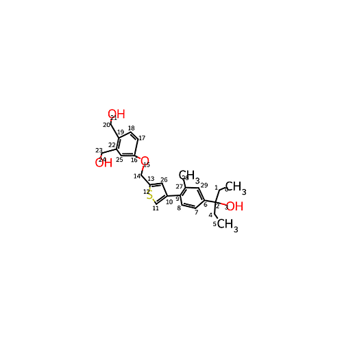 CCC(O)(CC)c1ccc(-c2csc(COc3ccc(CO)c(CO)c3)c2)c(C)c1